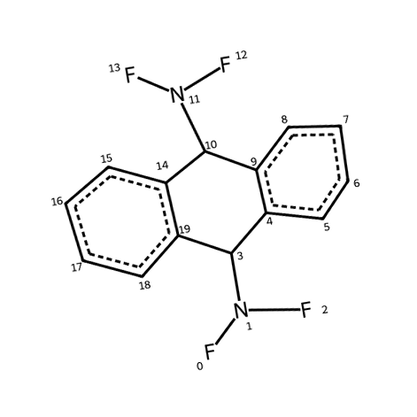 FN(F)C1c2ccccc2C(N(F)F)c2ccccc21